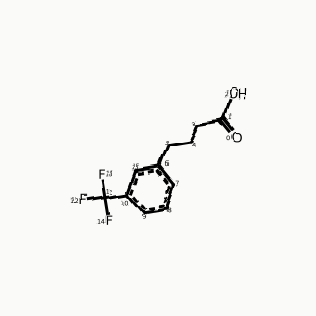 O=C(O)CCCc1c[c]cc(C(F)(F)F)c1